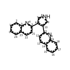 c1ccc2nc(-c3c[nH]cc3-c3ccc4ccccc4n3)ccc2c1